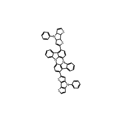 C1=CC2C(S1)C1SC(c3ccc4c5c3c3ccccc3n5c3ccc(-c5cc6c(s5)c5sccc5n6-c5ccccc5)c5c6ccccc6n4c53)=CC1N2c1ccccc1